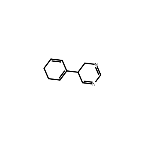 C1=CC(C2C=NC=NC2)=CCC1